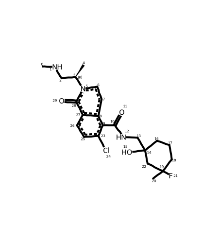 CNC[C@@H](C)n1ccc2c(C(=O)NCC3(O)CCCC(C)(F)C3)c(Cl)ccc2c1=O